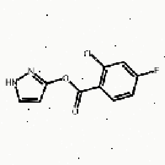 O=C(Oc1cc[nH]n1)c1ccc(F)cc1Cl